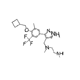 CNCCN(C)Cc1c[nH]nc1-c1cc(C)c(OCC2CCC2)c(C(F)(F)F)c1